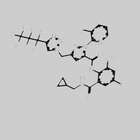 Cc1cc(I)cc(C(=O)NCC2CC2)c1NC(=O)c1cc(Cn2cc(C(F)(F)C(F)(F)C(F)(F)F)nn2)nn1-c1ncccc1Cl